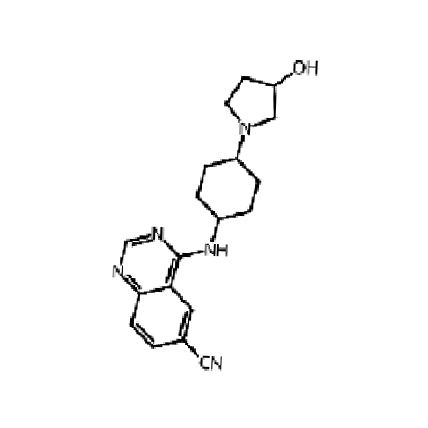 N#Cc1ccc2ncnc(NC3CCC(N4CCC(O)C4)CC3)c2c1